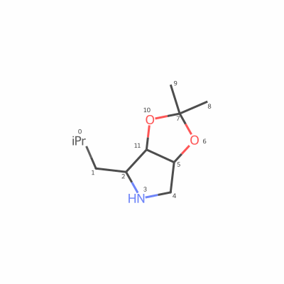 CC(C)CC1NCC2OC(C)(C)OC12